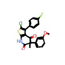 COc1cccc(C2(C)C(=O)Nc3sc(Cl)c(-c4ccc(F)cc4)c3C2=O)c1